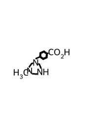 CN1CCNCCN(Cc2ccc(C(=O)O)cc2)CC1